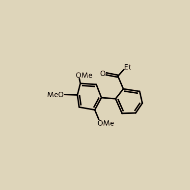 CCC(=O)c1ccccc1-c1cc(OC)c(OC)cc1OC